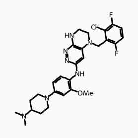 COc1cc(N2CCC(N(C)C)CC2)ccc1Nc1cc2c(nn1)NCCN2Cc1c(F)ccc(F)c1Cl